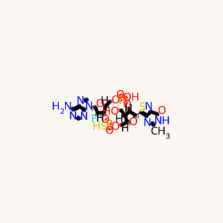 Cc1nc2c([C@@H]3O[C@@H]4COP(=O)(S)O[C@H]5[C@@H](F)[C@H](n6cnc7c(N)ncnc76)O[C@@H]5COP(=O)(O)O[C@@H]3[C@@H]4CO)snc2c(=O)[nH]1